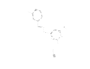 C#CCSc1nc(N/N=C/c2cccc(O)c2)cc(C(F)(F)F)n1